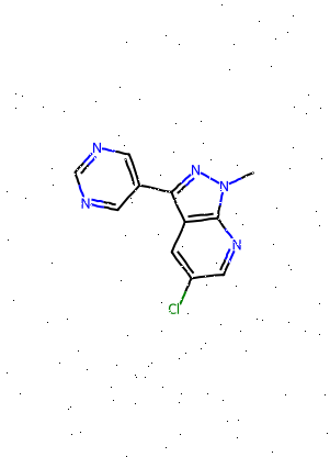 Cn1nc(-c2cncnc2)c2cc(Cl)cnc21